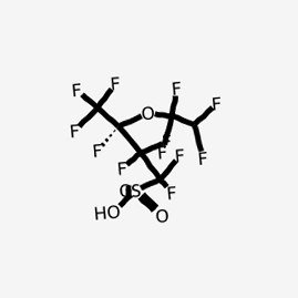 O=S(=O)(O)C(F)(F)C(F)(F)[C@](F)(OC(F)(F)C(F)F)C(F)(F)F